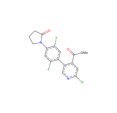 COC(=O)c1cc(Cl)ncc1-c1cc(F)c(N2CCCC2=O)cc1F